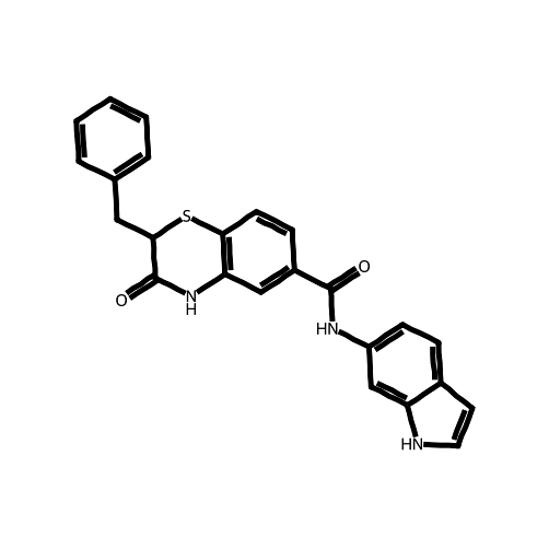 O=C(Nc1ccc2cc[nH]c2c1)c1ccc2c(c1)NC(=O)C(Cc1ccccc1)S2